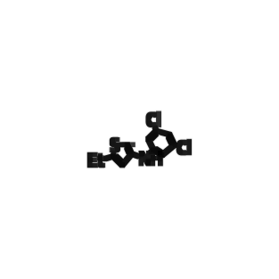 CCc1cc(Nc2cc(Cl)cc(Cl)c2)[c]s1